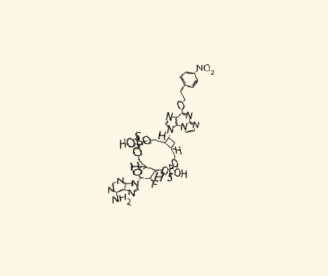 Nc1ncnc2c1ncn2[C@@H]1O[C@@H]2COP(O)(=S)OC[C@@H]3[C@@H](COP(O)(=S)O[C@H]2[C@H]1F)C[C@H]3n1cnc2c(OCCc3ccc([N+](=O)[O-])cc3)nc3nccn3c21